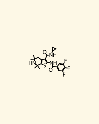 CC1(C)Cc2c(sc(NC(=O)c3cc(F)c(F)c(F)c3)c2C(=O)NC2CC2)C(C)(C)N1